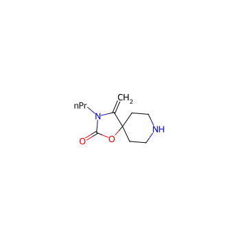 C=C1N(CCC)C(=O)OC12CCNCC2